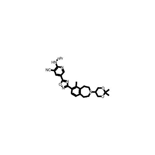 CCCNc1ncc(-c2nc(-c3ccc4c(c3C)CCN(C3COC(C)(C)OC3)CC4)no2)cc1C#N